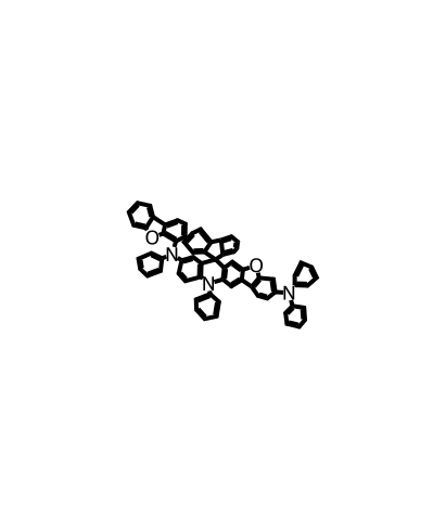 c1ccc(N(c2ccccc2)c2ccc3c(c2)oc2cc4c(cc23)N(c2ccccc2)c2ccc(N(c3ccccc3)c3cccc5c3oc3ccccc35)cc2C42c3ccccc3-c3ccccc32)cc1